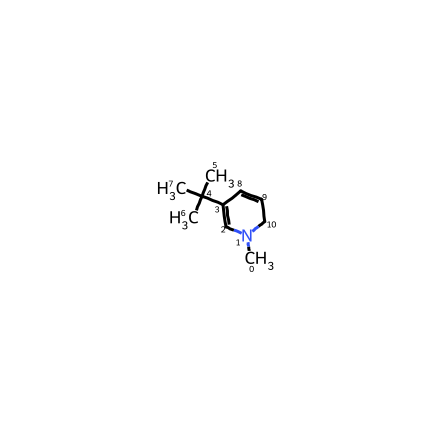 CN1C=C(C(C)(C)C)C=CC1